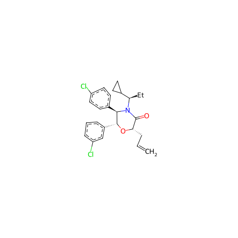 C=CC[C@@H]1O[C@H](c2cccc(Cl)c2)[C@@H](c2ccc(Cl)cc2)N([C@H](CC)C2CC2)C1=O